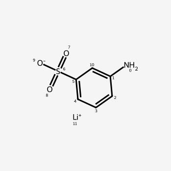 Nc1cccc(S(=O)(=O)[O-])c1.[Li+]